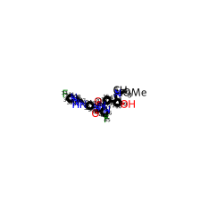 COCCN(C)Cc1cc(O)ccc1-c1cccc(-n2c(=O)n([C@H]3CC[C@@H](NCC4CN5C=C(F)C=CC5=N4)CC3)c(=O)c3cc(F)cnc32)c1